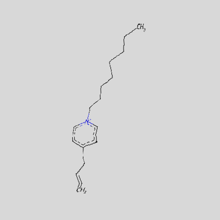 C=CCc1cc[n+](CCCCCCCC)cc1